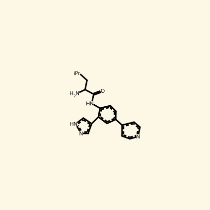 CC(C)CC(N)C(=O)Nc1ccc(-c2ccncc2)cc1-c1cn[nH]c1